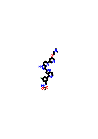 CN(C)CCOc1cncc(-c2ccc3[nH]nc(-c4cc5c(-c6cc(F)cc(CNS(C)(=O)=O)c6)nccc5[nH]4)c3n2)c1